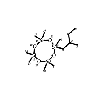 CCC(C)C[Si]1(C)O[Si](C)(C)O[Si](C)(C)O[Si](C)(C)O1